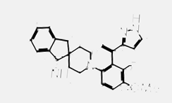 C=C(c1cc[nH]n1)c1c(N2CCC3(CC2)Cc2ccccc2[C@H]3N)ccc(OC)c1F